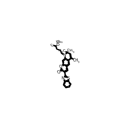 CC1=CC(C)(C)N(CCCC(=O)OC(C)(C)C)c2cc3oc(=O)c(-c4nc5ccccc5s4)cc3cc21